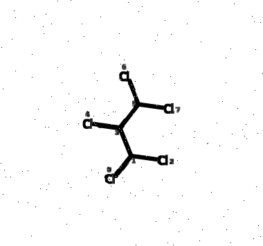 ClC(Cl)C(Cl)C(Cl)Cl